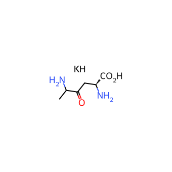 CC(N)C(=O)C[C@H](N)C(=O)O.[KH]